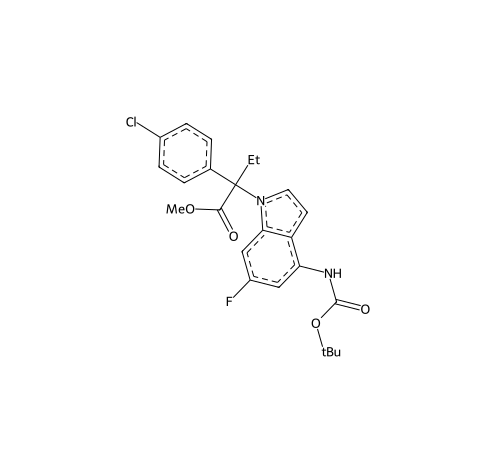 CCC(C(=O)OC)(c1ccc(Cl)cc1)n1ccc2c(NC(=O)OC(C)(C)C)cc(F)cc21